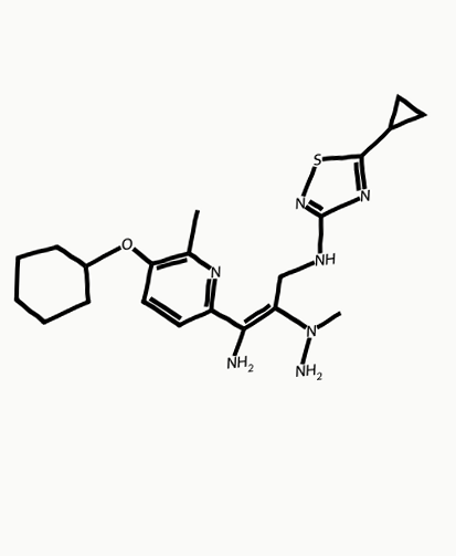 Cc1nc(/C(N)=C(\CNc2nsc(C3CC3)n2)N(C)N)ccc1OC1CCCCC1